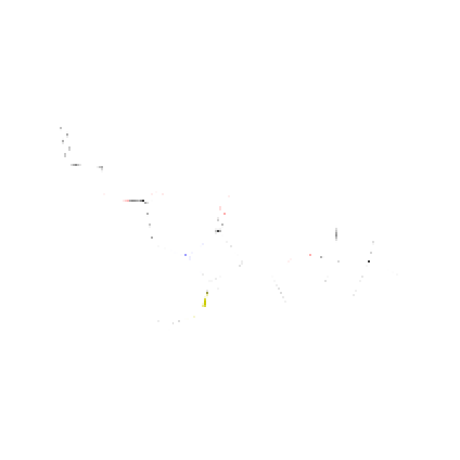 C=CCOC(=O)CN1C(=O)[C@H](C(C)O[Si](C)(C)C(C)(C)C)[C@H]1[S][Ag]